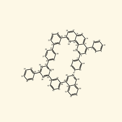 c1ccc(-c2cc(-c3ccccc3)c3ccc4ccc(-c5cccc(-c6ccc(-c7nc(-c8ccccc8)nc(-c8cccc(-c9cncc%10ccccc9%10)c8)n7)cc6)c5)nc4c3n2)cc1